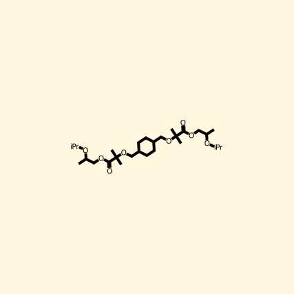 CC(C)OC(C)COC(=O)C(C)(C)OCC1CCC(COC(C)(C)C(=O)OCC(C)OC(C)C)CC1